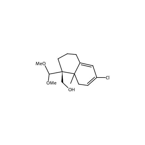 COC(OC)[C@]1(CO)CCCC2=CC(Cl)=CCC21C